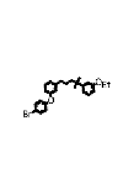 CCOc1cccc(C(C)(C)CCCc2cccc(Oc3ccc(Br)cc3)c2)c1